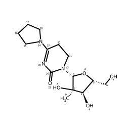 C[C@@]1(O)[C@H](O)[C@@H](CO)O[C@H]1N1CCC(N2CCCC2)=NC1=O